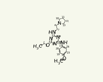 CCOc1nc(NCCN2CCCC2)nc(Nc2ccc(OC)cc2)n1